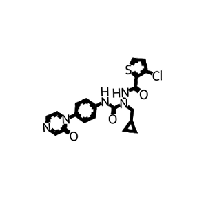 O=C(NN(CC1CC1)C(=O)Nc1ccc(-n2ccncc2=O)cc1)c1sccc1Cl